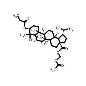 CCC(=O)O[C@H]1CC[C@@]2(C)C(CC[C@]3(C)[C@@H]2CC[C@@H]2C4[C@H](C(C)C)CC[C@]4(C(=O)OCOC(C)=O)CC[C@]23C)C1(C)C